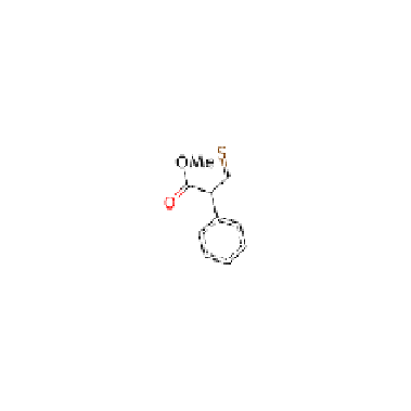 COC(=O)C(C=S)c1ccccc1